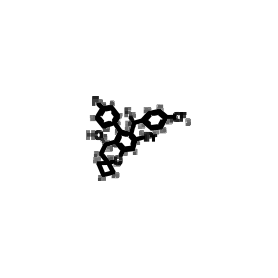 CC(C)c1cc2c(c(-c3ccc(F)cc3)c1[C@@H](F)c1ccc(C(F)(F)F)cc1)[C@@H](O)CC1(CCC1)O2